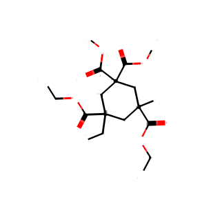 CCOC(=O)C1(C)CC(CC)(C(=O)OCC)CC(C(=O)OC)(C(=O)OC)C1